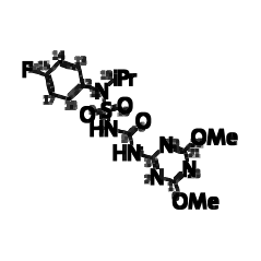 COc1nc(NC(=O)NS(=O)(=O)N(c2ccc(F)cc2)C(C)C)nc(OC)n1